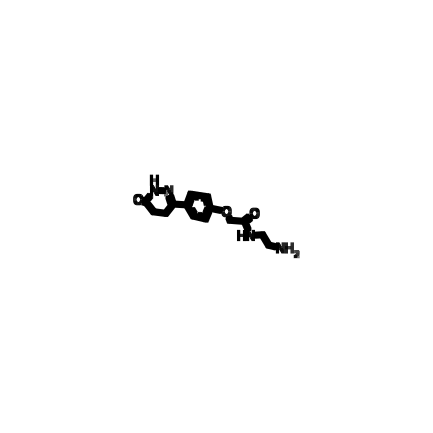 NCCNC(=O)COc1ccc(C2=NNC(=O)CC2)cc1